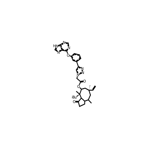 C=C[C@@]1(C)CC(C)C2CCC(=O)C2[C@@](C)(C(C)CC)C(OC(=O)Cn2cc(-c3cccc(Oc4ncnc5[nH]cnc45)c3)nn2)C1